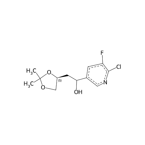 CC1(C)OC[C@H](CC(O)c2cnc(Cl)c(F)c2)O1